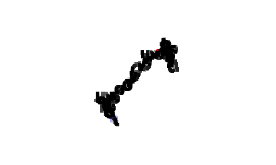 CC/C=c1\ccc2c(c1)Oc1cc(NC(=O)CCOCCOCCOCCOCCNC(O)Cc3c(C)n(C(=O)c4ccc(Cl)cc4)c4ccc(C)cc34)c3ccccc3c1N=2